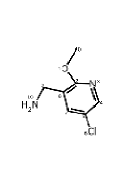 COc1ncc(Cl)cc1CN